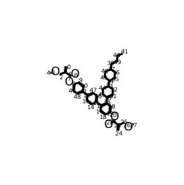 C=C(COC)C(=O)Oc1ccc(-c2ccc(-c3ccc(OC(=O)C(=C)COC)cc3C3=CCC(C4CCC(CCCC)CC4)CC3)cc2)cc1